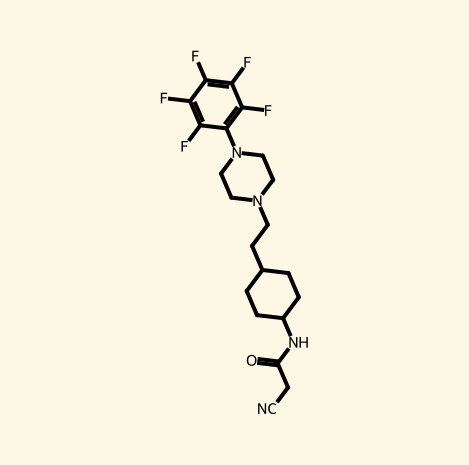 N#CCC(=O)NC1CCC(CCN2CCN(c3c(F)c(F)c(F)c(F)c3F)CC2)CC1